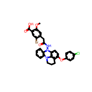 COc1cc(CC(=O)NN(c2ccc(Oc3ccc(Cl)cc3)cc2)c2ccccc2N2CCCCC2)c(Br)cc1C(=O)O